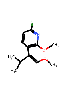 CO/C=C(\c1ccc(Cl)nc1OC)C(C)C